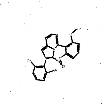 CC(C)Oc1cccc(OC(C)C)c1C1=CC=CC2=CN(c3c(C(C)C)cccc3C(C)C)[CH]([Au][Cl])N21